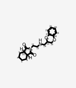 O=C1[C@H]2CCCC[C@H]2C(=O)N1CCNCC1COc2ccccc2O1